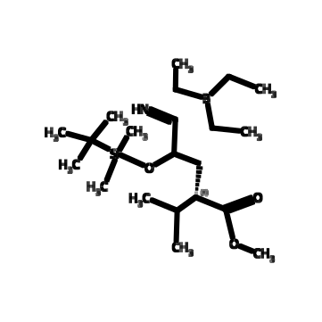 CCB(CC)CC.COC(=O)[C@@H](CC(C=N)O[Si](C)(C)C(C)(C)C)C(C)C